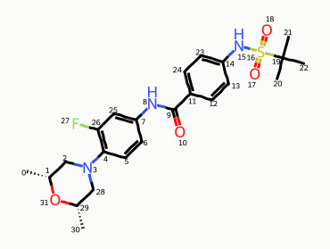 C[C@@H]1CN(c2ccc(NC(=O)c3ccc(NS(=O)(=O)C(C)(C)C)cc3)cc2F)C[C@H](C)O1